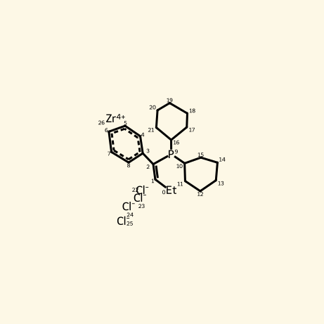 CCC=C(c1ccccc1)P(C1CCCCC1)C1CCCCC1.[Cl-].[Cl-].[Cl-].[Cl-].[Zr+4]